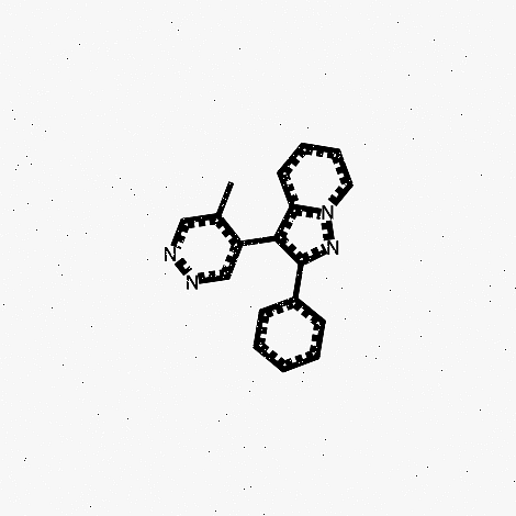 Cc1cnncc1-c1c(-c2ccccc2)nn2ccccc12